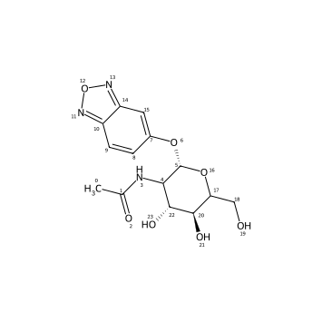 CC(=O)NC1[C@H](Oc2ccc3nonc3c2)OC(CO)[C@@H](O)[C@@H]1O